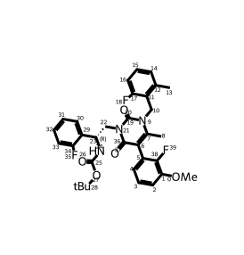 COc1cccc(-c2c(C)n(Cc3c(C)cccc3F)c(=O)n(C[C@H](NC(=O)OC(C)(C)C)c3ccccc3F)c2=O)c1F